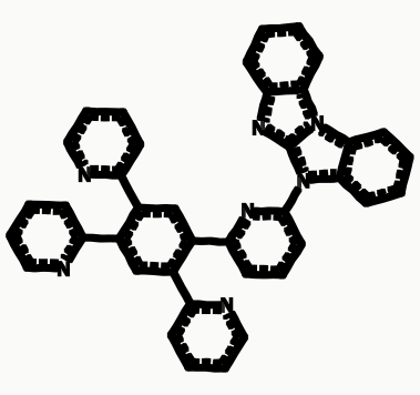 c1ccc(-c2cc(-c3ccccn3)c(-c3cccc(-n4c5ccccc5n5c6ccccc6nc45)n3)cc2-c2ccccn2)nc1